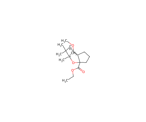 CCOC(=O)C1(O[Si](C)(C)C(C)(C)C)CCCC1COC